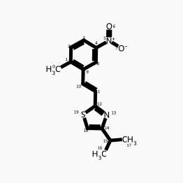 Cc1ccc([N+](=O)[O-])cc1/C=C/c1nc(C(C)C)cs1